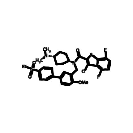 CCS(=O)(=O)c1ccc(-c2ccc(OC)c(CN(C(=O)c3sc4c(F)ccc(F)c4c3Cl)[C@H]3CC[C@H](N(C)C)CC3)c2)cc1